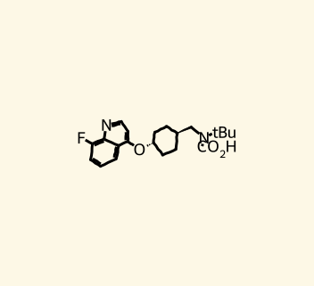 CC(C)(C)N(C[C@H]1CC[C@H](Oc2ccnc3c(F)cccc23)CC1)C(=O)O